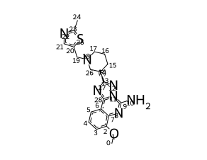 COc1cccc2c1nc(N)n1nc([C@@H]3CCCN(Cc4cnc(C)s4)C3)nc21